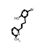 Cc1cccc(/C=C/Cc2cc(Br)ccc2O)n1